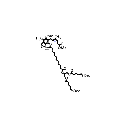 CCCCCCCCCCCCCCC(=O)OCC(COC(=O)CCCCCCCCCCCCCC)OC(=O)CCCCCCCCCCC(=O)Oc1c(C/C=C(\C)CCC(=O)OC)c(OC)c(C)c2c1C(=O)OC2